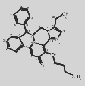 CCCCOc1c2n(ccc1=O)[C@@H](C(c1ccccc1)c1ccccc1)Cn1c(CO)cnc1-2